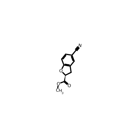 COC(=O)[C@@H]1Cc2cc(C#N)ccc2O1